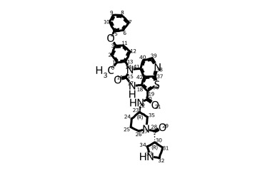 Cc1cc(Oc2ccccc2)ccc1N1C(=O)Nc2c(C(=O)N[C@@H]3CCCN(C(=O)[C@@H]4CCNC4)C3)sc3nccc1c23